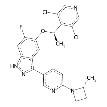 C[C@@H]1CCN1c1ccc(-c2n[nH]c3cc(F)c(O[C@H](C)c4c(Cl)cncc4Cl)cc23)cn1